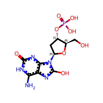 Nc1[nH]c(=O)nc2c1nc(O)n2[C@H]1C[C@H](OP(=O)(O)O)[C@@H](CO)O1